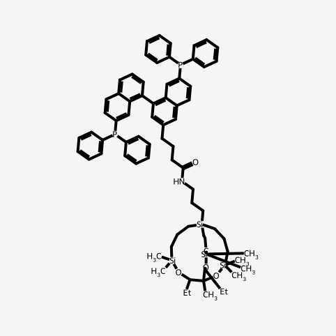 CCC1O[Si](C)(C)CCC[Si]2(CCCNC(=O)CCCc3cc(-c4cccc5ccc(P(c6ccccc6)c6ccccc6)cc45)c4cc(P(c5ccccc5)c5ccccc5)ccc4c3)CCC[Si](C)(C)OC(CC)C1(C)O[Si](C)(C)CCC2